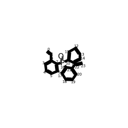 C=Cc1ccccc1P(=O)(c1ccccc1)c1ccccc1C=C